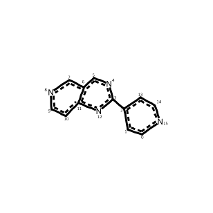 c1cc(-c2ncc3cnccc3n2)ccn1